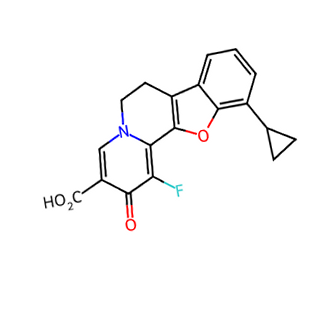 O=C(O)c1cn2c(c(F)c1=O)-c1oc3c(C4CC4)cccc3c1CC2